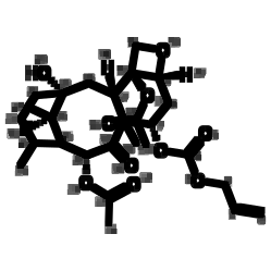 C=CCOC(=O)O[C@H]1C[C@H]2OC[C@@]2(OC(C)=O)[C@H]2C[C@]3(O)CCC(C)C([C@H]3C)[C@@H](OC(C)=O)C(=O)C12C